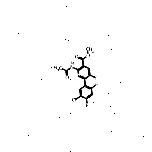 COC(=O)c1cc(I)c(-c2cc(Cl)c(F)cc2F)cc1NC(C)=O